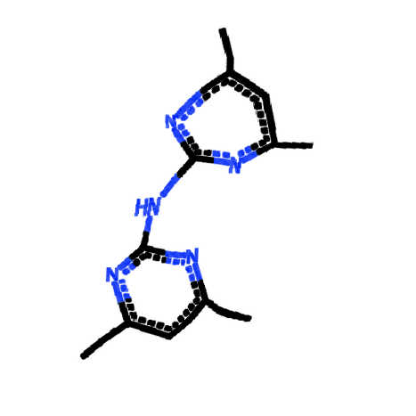 Cc1cc(C)nc(Nc2nc(C)cc(C)n2)n1